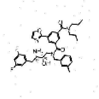 CCCN(CCC)C(=O)c1cc(C(=O)N(Cc2cccc(C)c2)C[C@@H](O)[C@@H](N)Cc2cc(F)cc(F)c2)cc(-c2ncco2)c1